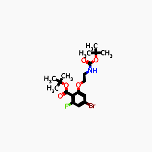 CC(C)(C)OC(=O)NCCOc1cc(Br)cc(F)c1C(=O)OC(C)(C)C